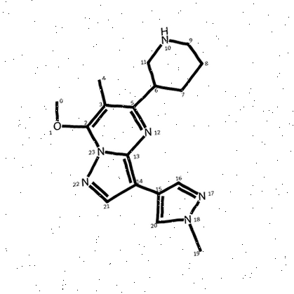 COc1c(C)c(C2CCCNC2)nc2c(-c3cnn(C)c3)cnn12